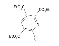 CCOC(=O)c1cc(C(=O)OCC)c(C(=O)OCC)nc1Cl